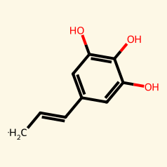 [CH2]/C=C/c1cc(O)c(O)c(O)c1